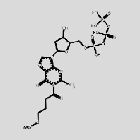 CSSCCCC(=O)n1c(N)nc2c(ncn2[C@H]2CC(O)[C@@H](COP(=O)(O)OP(=O)(O)OP(=O)(O)O)O2)c1=O